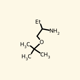 CCC(N)COC(C)(C)C